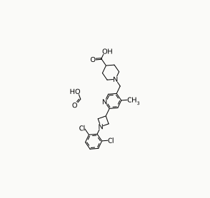 Cc1cc(C2CN(c3c(Cl)cccc3Cl)C2)ncc1CN1CCC(C(=O)O)CC1.O=CO